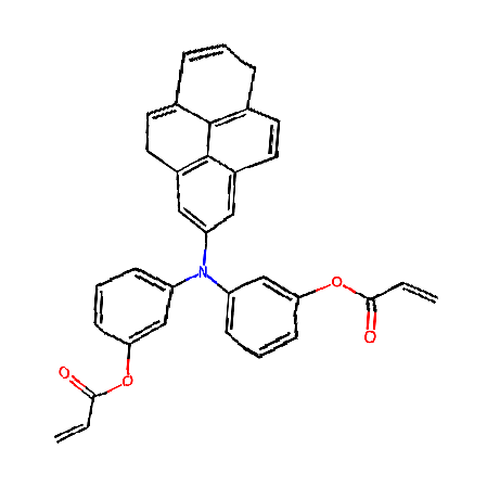 C=CC(=O)Oc1cccc(N(c2cccc(OC(=O)C=C)c2)c2cc3c4c5c(ccc4c2)CC=CC5=CC3)c1